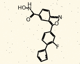 O=C(NO)c1ccc2noc(-c3ccc(-c4ccccc4)c(F)c3)c2c1